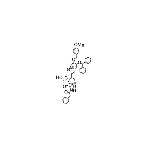 COc1ccc(COc2c[n+]([O-])c(C=CC3=C(C(=O)O)N4C(=O)[C@@H](NC(=O)Cc5ccccc5)[C@H]4SC3)cc2OC(c2ccccc2)c2ccccc2)cc1